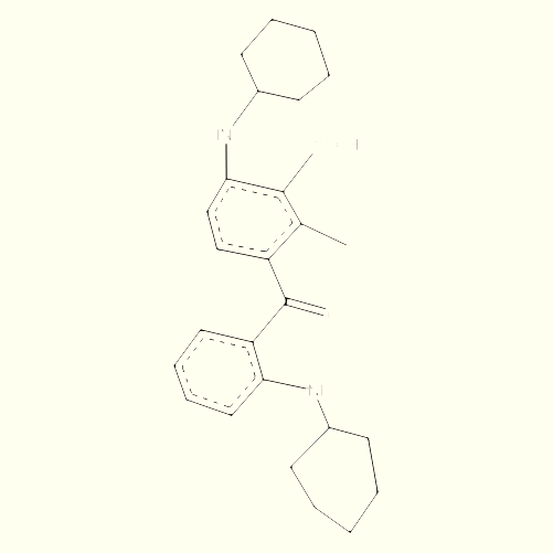 Cc1c(C(=O)c2ccccc2NC2CCCCC2)ccc(NC2CCCCC2)c1C(=O)O